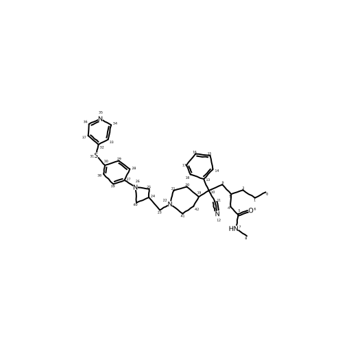 CCCC(CC(=O)NC)CC(C#N)(c1ccccc1)C1CCN(CC2CN(c3ccc(Sc4ccncc4)cc3)C2)CC1